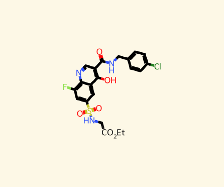 CCOC(=O)CNS(=O)(=O)c1cc(F)c2ncc(C(=O)NCc3ccc(Cl)cc3)c(O)c2c1